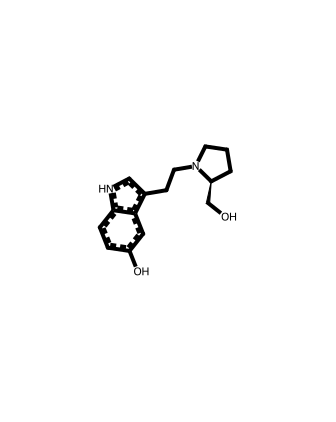 OC[C@@H]1CCCN1CCc1c[nH]c2ccc(O)cc12